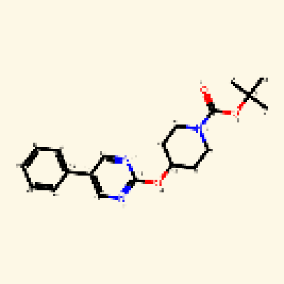 CC(C)(C)OC(=O)N1CCC(Oc2ncc(-c3ccccc3)cn2)CC1